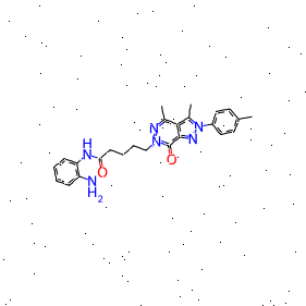 Cc1ccc(-n2nc3c(=O)n(CCCCC(=O)Nc4ccccc4N)nc(C)c3c2C)cc1